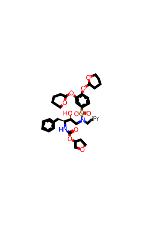 CC(C)CN(C[C@@H](O)[C@H](Cc1ccccc1)NC(=O)OC1CCOC1)S(=O)(=O)c1ccc(OC2CCCCO2)c(OC2CCCCO2)c1